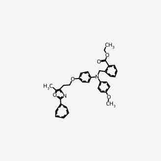 CCOC(=O)c1ccccc1CN(c1ccc(OC)cc1)c1ccc(OCCc2nc(-c3ccccc3)oc2C)cc1